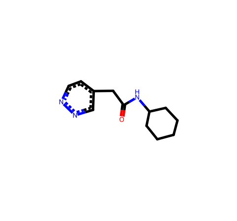 O=C(Cc1ccnnc1)NC1CCCCC1